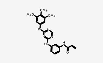 C=CC(=O)Nc1cccc(Nc2ncnc(Nc3cc(OC)c(OC)c(OC)c3)n2)c1